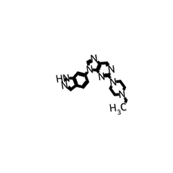 CCN1CCN(c2ncc3ncn(-c4ccc5cn[nH]c5c4)c3n2)CC1